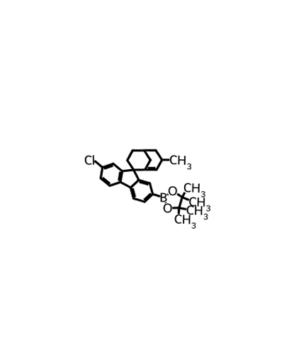 CC1C=C2CC(CCC23c2cc(Cl)ccc2-c2ccc(B4OC(C)(C)C(C)(C)O4)cc23)C1